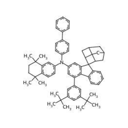 CC(C)(C)c1cc(-c2cc(N(c3ccc(-c4ccccc4)cc3)c3ccc4c(c3)C(C)(C)CCC4(C)C)cc3c2-c2ccccc2C32C3CC4CC5CC2C53C4)cc(C(C)(C)C)c1